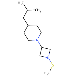 CSN1CC(N2CCC(CC(C)C)CC2)C1